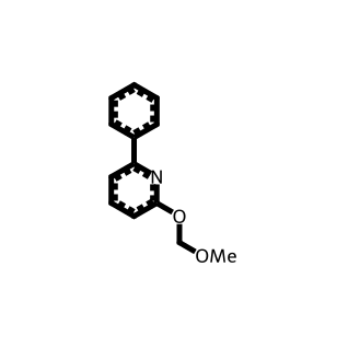 COCOc1cccc(-c2ccccc2)n1